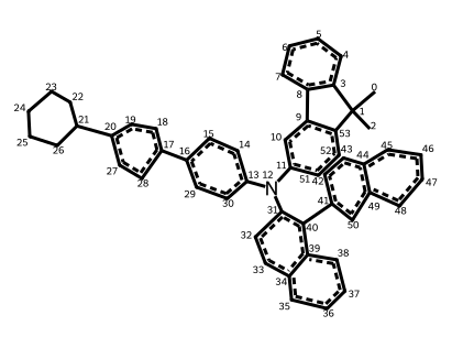 CC1(C)c2ccccc2-c2cc(N(c3ccc(-c4ccc(C5CCCCC5)cc4)cc3)c3ccc4ccccc4c3-c3ccc4ccccc4c3)ccc21